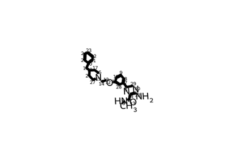 CNC(=O)c1nc(-c2cccc(OCCN3CCC(Cc4ccccc4)CC3)c2)cnc1N